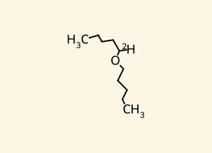 [2H]C(CCCC)OCCCCC